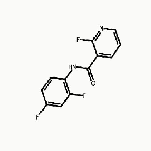 O=C(Nc1ccc(F)cc1F)c1cccnc1F